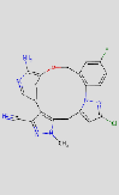 Cn1nc(C#N)c2c1Cc1cc(Cl)nn1-c1ccc(F)cc1COc1cc-2cnc1N